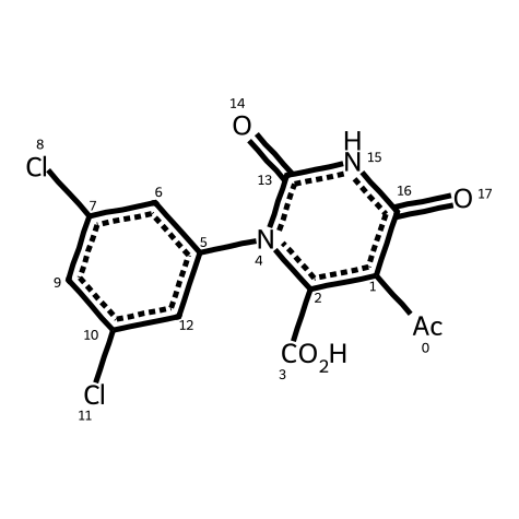 CC(=O)c1c(C(=O)O)n(-c2cc(Cl)cc(Cl)c2)c(=O)[nH]c1=O